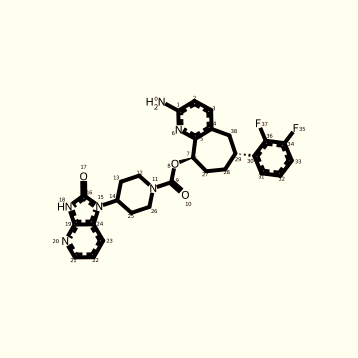 Nc1ccc2c(n1)[C@H](OC(=O)N1CCC(n3c(=O)[nH]c4ncccc43)CC1)CC[C@@H](c1cccc(F)c1F)C2